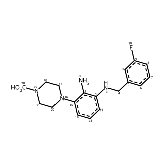 Nc1c(NCc2cccc(F)c2)cccc1N1CCN(C(=O)O)CC1